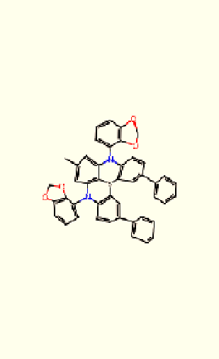 Cc1cc2c3c(c1)N(c1cccc4c1OCO4)c1ccc(-c4ccccc4)cc1B3c1cc(-c3ccccc3)ccc1N2c1cccc2c1OCO2